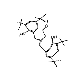 COCCN(Cc1cc(C(C)(C)C)cc(C(C)(C)C)c1O)Cc1cc(C(C)(C)C)cc(C(C)(C)C)c1O